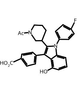 CC(=O)N1CCCC(c2c(-c3ccc(C(=O)O)cc3)c3c(O)cccc3n2-c2ccc(F)cc2)C1